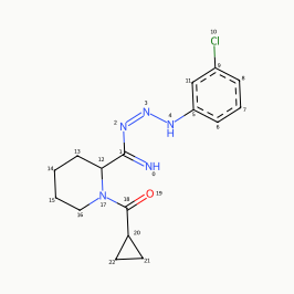 N=C(/N=N\Nc1cccc(Cl)c1)C1CCCCN1C(=O)C1CC1